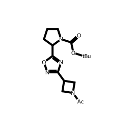 CC(=O)N1CC(c2noc(C3CCCN3C(=O)OC(C)(C)C)n2)C1